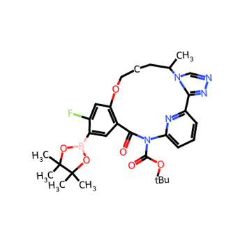 CC1CCCOc2cc(F)c(B3OC(C)(C)C(C)(C)O3)cc2C(=O)N(C(=O)OC(C)(C)C)c2cccc(n2)-c2nncn21